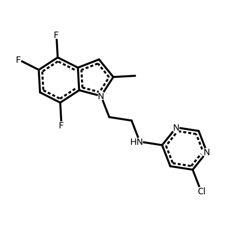 Cc1cc2c(F)c(F)cc(F)c2n1CCNc1cc(Cl)ncn1